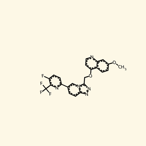 COc1ccc2c(OCc3nnc4ccc(-c5ccc(F)c(C(F)(F)F)n5)cn34)ccnc2c1